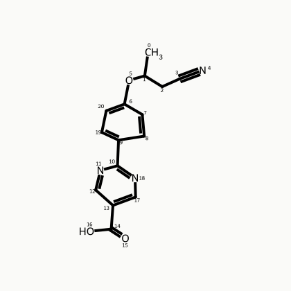 CC(CC#N)Oc1ccc(-c2ncc(C(=O)O)cn2)cc1